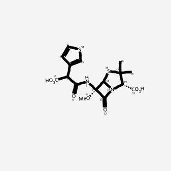 CO[C@@]1(NC(=O)C(C(=O)O)c2ccsc2)C(=O)N2C1SC(C)(C)[C@@H]2C(=O)O